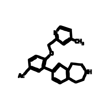 CC(=O)c1ccc(OCc2cc(C)ccn2)c(-c2ccc3c(c2)CCNCC3)c1